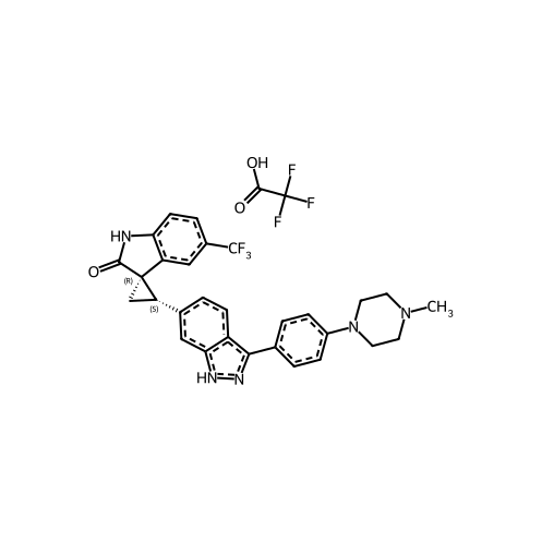 CN1CCN(c2ccc(-c3n[nH]c4cc([C@@H]5C[C@@]56C(=O)Nc5ccc(C(F)(F)F)cc56)ccc34)cc2)CC1.O=C(O)C(F)(F)F